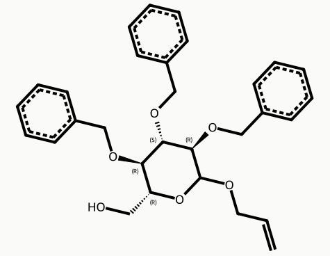 C=CCOC1O[C@H](CO)[C@@H](OCc2ccccc2)[C@H](OCc2ccccc2)[C@H]1OCc1ccccc1